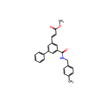 COC(=O)/C=C/c1cc(C(=O)NCc2ccc(C)cc2)cc(-c2ccccc2)c1